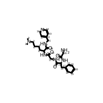 CN(C)CCCCC(NC(=O)CNC(=O)C(Cc1ccccc1)NC(=O)CN)C(=O)NCc1ccncc1